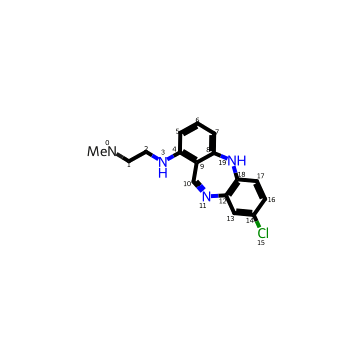 CNCCNc1cccc2c1C=Nc1cc(Cl)ccc1N2